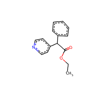 CCOC(=O)C(c1ccccc1)c1ccncc1